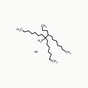 CCCCCCCC(CCC)C(P)(CCCCCCC)CCCCCCC.I